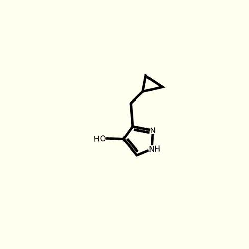 Oc1c[nH]nc1CC1CC1